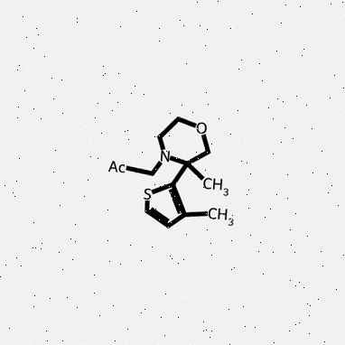 CC(=O)CN1CCOCC1(C)c1sccc1C